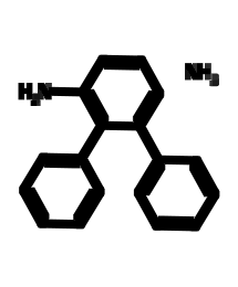 N.Nc1cccc(-c2ccccc2)c1-c1ccccc1